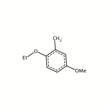 [CH2]c1cc(OC)ccc1OCC